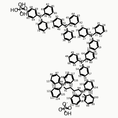 O=P(O)(O)O.O=P([O-])([O-])O.c1ccc(P(c2ccccc2)c2ccccc2)cc1.c1ccc(P(c2ccccc2)c2ccccc2)cc1.c1ccc(P(c2ccccc2)c2ccccc2)cc1.c1ccc(P(c2ccccc2)c2ccccc2)cc1.c1ccc([P+](CCCC[P+](c2ccccc2)(c2ccccc2)c2ccccc2)(c2ccccc2)c2ccccc2)cc1